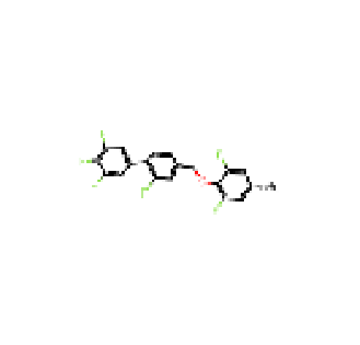 CCCCc1cc(F)c(OCc2ccc(-c3cc(F)c(F)c(F)c3)c(F)c2)c(F)c1